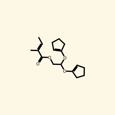 CC=C(C)C(=O)OCC(OC1=CCCC1)OC1=CCCC1